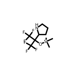 C[Si](C)(C)OC(C1CCCN1)(C(F)(F)F)C(F)(F)F